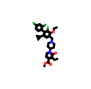 CCOc1c(CN2CCC(n3ccc(C(=O)OC)c(CC)c3=O)CC2)cc(C2CC2)c(-c2ccc(F)cc2F)c1F